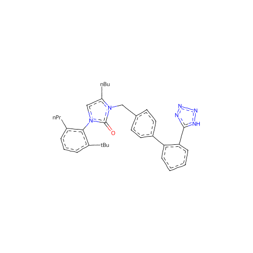 CCCCc1cn(-c2c(CCC)cccc2C(C)(C)C)c(=O)n1Cc1ccc(-c2ccccc2-c2nnn[nH]2)cc1